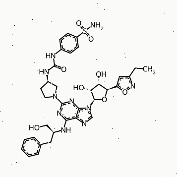 CCc1cc([C@H]2O[C@@H](n3cnc4c(N[C@H](CO)Cc5ccccc5)nc(N5CC[C@@H](NC(=O)Nc6ccc(S(N)(=O)=O)cc6)C5)nc43)[C@H](O)[C@@H]2O)on1